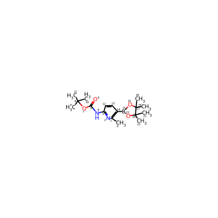 Cc1nc(NC(=O)OC(C)(C)C)ccc1B1OC(C)(C)C(C)(C)O1